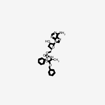 C[C@H](NP(=O)(OC[C@@H]1C[C@H](O)C(n2cnc3c(N)ncnc32)O1)Oc1ccccc1)C(=O)OCc1ccccc1